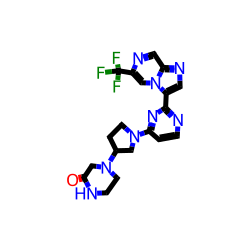 O=C1CN(C2CCN(c3ccnc(-c4cnc5cnc(C(F)(F)F)cn45)n3)C2)CCN1